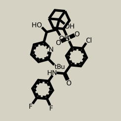 CC(C)(C)c1cccc(C(O)C(O)C2(O)C3CC2CC(S(=O)(=O)c2cc(C(=O)Nc4ccc(F)c(F)c4)ccc2Cl)C3)n1